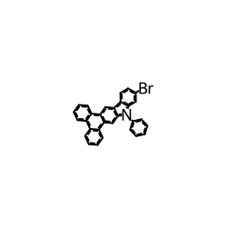 Brc1ccc2c3cc4c5ccccc5c5ccccc5c4cc3n(-c3ccccc3)c2c1